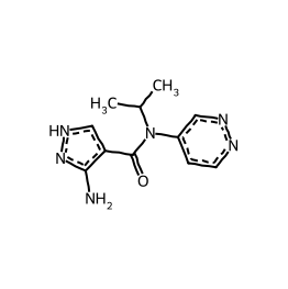 CC(C)N(C(=O)c1c[nH]nc1N)c1ccnnc1